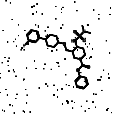 CN(C)S(=O)(=O)N[C@H]1CCN(C(=O)Oc2ccccc2)C[C@H]1COC1CCC(c2cccc(F)c2)CC1